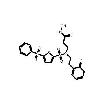 O=C(CCN(CCC1=CC=CCC1=S)S(=O)(=O)c1ccc(S(=O)(=O)c2ccccc2)s1)NO